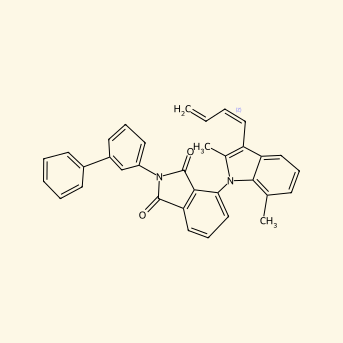 C=C/C=C\c1c(C)n(-c2cccc3c2C(=O)N(c2cccc(-c4ccccc4)c2)C3=O)c2c(C)cccc12